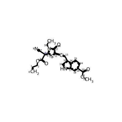 C=CCOC(=O)/C(C#N)=c1\sc(=C=Cc2c[nH]c3cc(C(=O)OC)ccc23)c(=O)n1CC